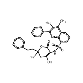 CCCC1(CCc2ccccc2)CC(O)=C(NS(=O)(=O)c2cccc3c(C)c(C(C)(C)C)c(-c4ccccc4)nc23)C(=O)O1